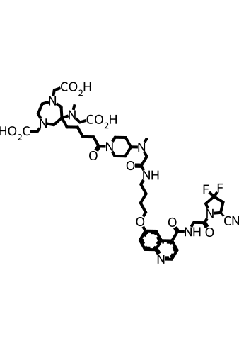 CN(CC(=O)NCCCCOc1ccc2nccc(C(=O)NCC(=O)N3CC(F)(F)C[C@H]3C#N)c2c1)C1CCN(C(=O)CCCCC2(N(C)CC(=O)O)CN(CC(=O)O)CCN(CC(=O)O)C2)CC1